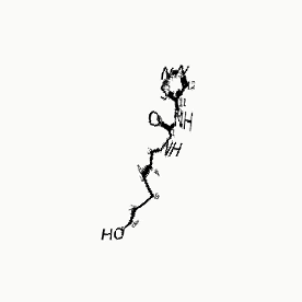 O=C(NCCCCCCO)Nc1cnns1